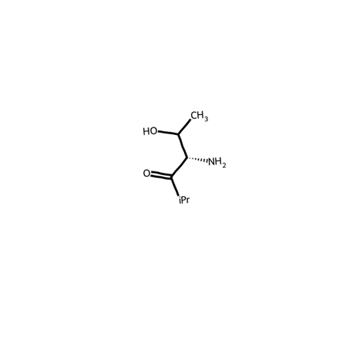 CC(C)C(=O)[C@@H](N)C(C)O